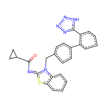 O=C(N=c1sc2ccccc2n1Cc1ccc(-c2ccccc2-c2nnn[nH]2)cc1)C1CC1